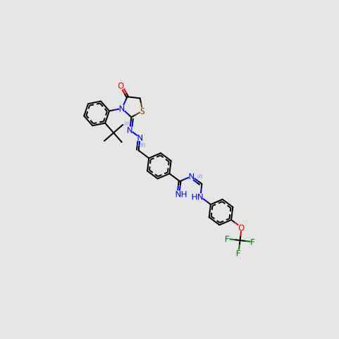 CC(C)(C)c1ccccc1N1C(=O)CS/C1=N\N=C\c1ccc(C(=N)/N=C\Nc2ccc(OC(F)(F)F)cc2)cc1